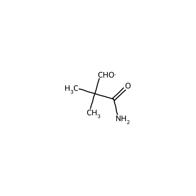 CC(C)([C]=O)C(N)=O